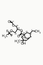 CCC1CC2CC(C)(O)CC(C(=O)OC(COC=O)COC(C)(F)F)(C1)C2